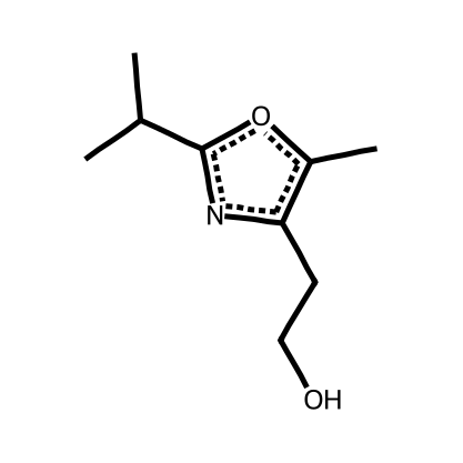 Cc1oc(C(C)C)nc1CCO